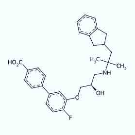 CC(C)(CC1Cc2ccccc2C1)NC[C@@H](O)COc1cc(-c2ccc(C(=O)O)cc2)ccc1F